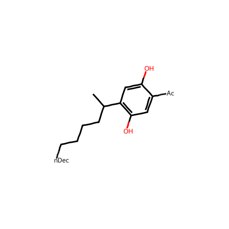 CCCCCCCCCCCCCCC(C)c1cc(O)c(C(C)=O)cc1O